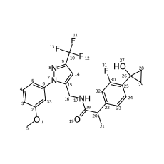 COc1cccc(-n2nc(C(F)(F)F)cc2CNC(=O)C(C)c2ccc(C3(O)CC3)c(F)c2)c1